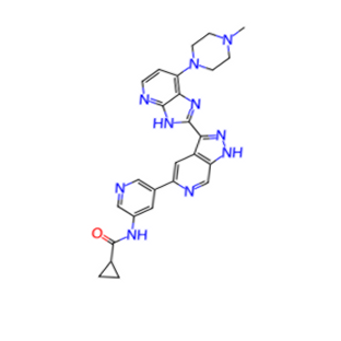 CN1CCN(c2ccnc3[nH]c(-c4n[nH]c5cnc(-c6cncc(NC(=O)C7CC7)c6)cc45)nc23)CC1